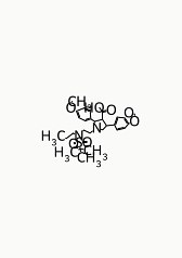 CCCN(CCN1CC(c2ccc3c(c2)OCO3)C(C(=O)O)C1c1ccc(OC)cc1)S(=O)(=O)C(C)(C)C